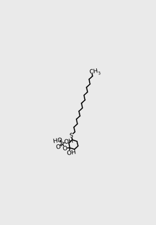 CCCCCCCCCCCCCCCCSC1CCCC(O)(OP(=O)(O)O)C1